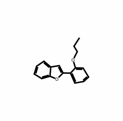 CCCOc1ccccc1-c1cc2ccccc2o1